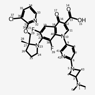 CN(C)C1CN(c2ccc(-n3cc(C(=O)O)c(=O)c4cc(F)c(N5CCC[C@]5(C)COc5ncccc5Cl)c(F)c43)cn2)C1